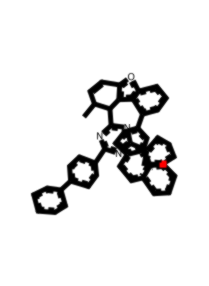 CC1C=Cc2oc3cccc(-c4ccc5ccc6ccccc6c5c4)c3c2C1c1nc(-c2ccccc2)nc(-c2ccc(-c3ccccc3)cc2)n1